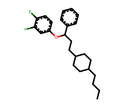 CCCCC1CCC(CCC(Oc2ccc(F)c(F)c2)c2ccccc2)CC1